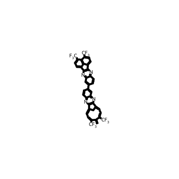 C=C1/C(C(F)(F)F)=C\C=C2/C/C(=C\C=C/1C(F)(F)F)c1nc3cc(-c4ccc5nc6c(nc5c4)-c4ccc(C(F)(F)F)c5c(C(F)(F)F)ccc-6c45)ccc3nc12